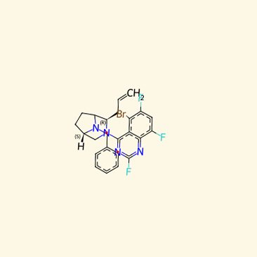 C=CC[C@@H]1C2CC[C@@H](CN1c1nc(F)nc3c(F)cc(F)c(Br)c13)N2Cc1ccccc1